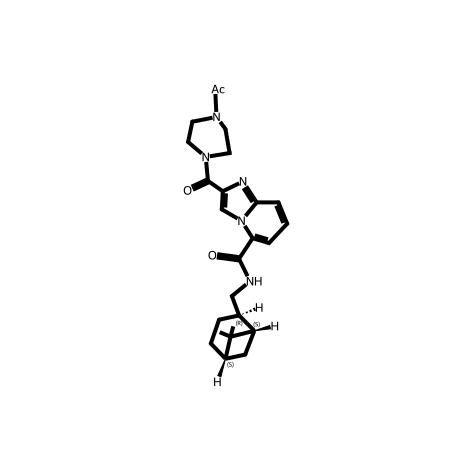 CC(=O)N1CCN(C(=O)c2cn3c(C(=O)NC[C@@H]4CC[C@H]5C[C@@H]4C5(C)C)cccc3n2)CC1